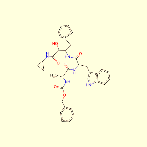 CC(NC(=O)OCc1ccccc1)C(=O)NC(Cc1c[nH]c2ccccc12)C(=O)NC(Cc1ccccc1)C(O)C(=O)NC1CC1